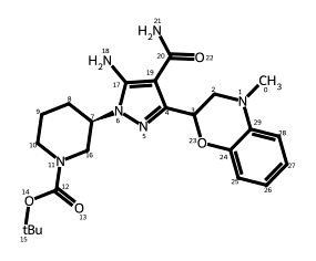 CN1CC(c2nn([C@@H]3CCCN(C(=O)OC(C)(C)C)C3)c(N)c2C(N)=O)Oc2ccccc21